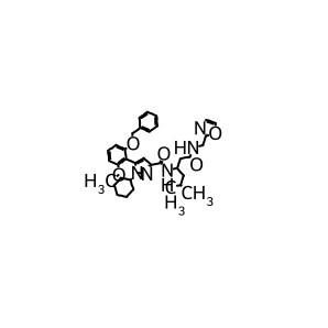 COc1cccc(OCc2ccccc2)c1-c1cc(C(=O)NC(CC(=O)NCc2ncco2)CC(C)C)nn1C1CCCCC1